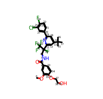 COc1cc(C(=O)NCC(F)(c2cc(C(C)(C)C)cc(-c3ccc(F)c(Cl)c3)n2)C(F)(F)F)ccc1OCCO